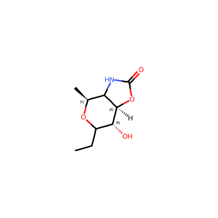 CCC1O[C@@H](C)C2NC(=O)O[C@H]2[C@@H]1O